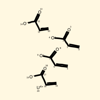 C=CC(=O)[O-].C=CC(=O)[O-].C=CC(=O)[O-].C=CC(=O)[O-].[U+4]